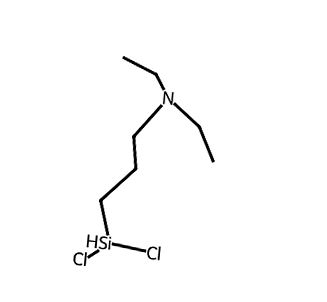 CCN(CC)CCC[SiH](Cl)Cl